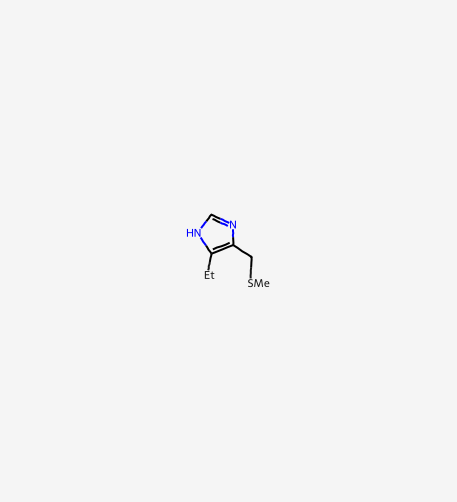 [CH2]SCc1nc[nH]c1CC